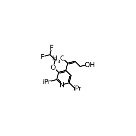 C/C(=C/CO)c1cc(C(C)C)nc(C(C)C)c1OCC(F)F